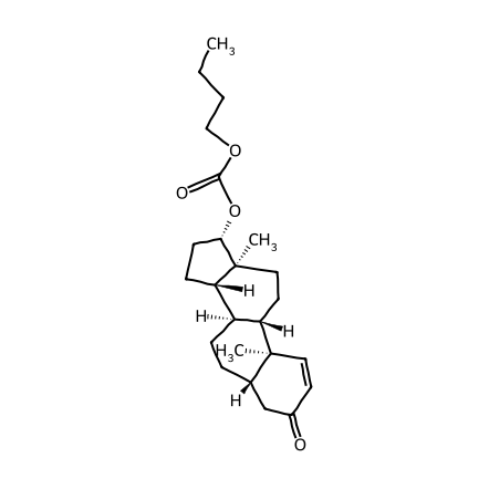 CCCCOC(=O)O[C@H]1CC[C@H]2[C@@H]3CC[C@H]4CC(=O)C=C[C@]4(C)[C@H]3CC[C@]12C